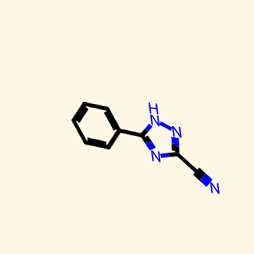 N#Cc1n[nH]c(-c2ccccc2)n1